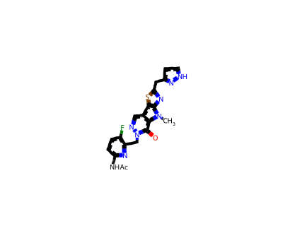 CC(=O)Nc1ccc(F)c(Cn2ncc3c4sc(Cc5cc[nH]n5)nc4n(C)c3c2=O)n1